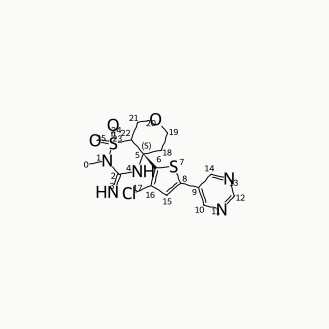 CN1C(=N)N[C@@]2(c3sc(-c4cncnc4)cc3Cl)CCOCC2S1(=O)=O